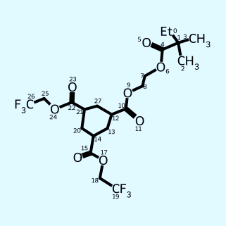 CCC(C)(C)C(=O)OCCOC(=O)C1CC(C(=O)OCC(F)(F)F)CC(C(=O)OCC(F)(F)F)C1